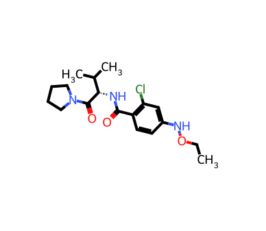 CCONc1ccc(C(=O)N[C@H](C(=O)N2CCCC2)C(C)C)c(Cl)c1